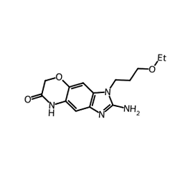 CCOCCCn1c(N)nc2cc3c(cc21)OCC(=O)N3